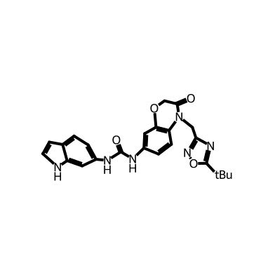 CC(C)(C)c1nc(CN2C(=O)COc3cc(NC(=O)Nc4ccc5cc[nH]c5c4)ccc32)no1